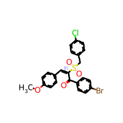 COc1ccc(/C=C(\C(=O)c2ccc(Br)cc2)S(=O)(=O)Cc2ccc(Cl)cc2)cc1